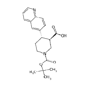 CC(C)(C)OC(=O)N1CC[C@H](c2ccc3ncccc3c2)[C@@H](C(=O)O)C1